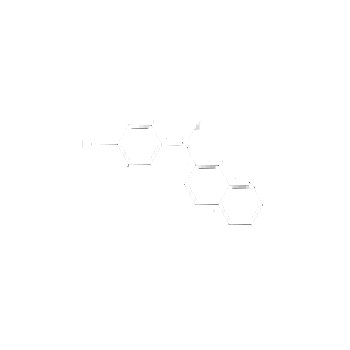 Cc1ccc(N(c2ccc3cccnc3c2)C(C)C)cc1